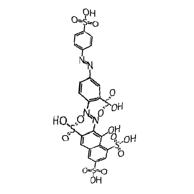 O=S(=O)(O)c1ccc(/N=N/c2ccc(/N=N/c3c(S(=O)(=O)O)cc4cc(S(=O)(=O)O)cc(S(=O)(=O)O)c4c3O)c(S(=O)(=O)O)c2)cc1